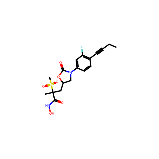 CCC#Cc1ccc(N2CC(CC(C)(C(=O)NO)S(C)(=O)=O)OC2=O)cc1F